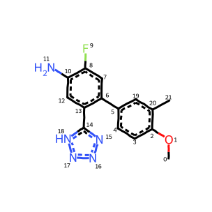 COc1ccc(-c2cc(F)c(N)cc2-c2nnn[nH]2)cc1C